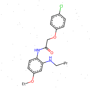 CCOc1ccc(NC(=O)COc2ccc(Cl)cc2)c(NCC(C)C)c1